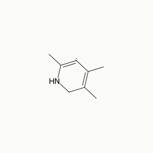 CC1=[C]C(C)=C(C)CN1